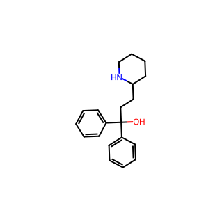 OC(CCC1CCCCN1)(c1ccccc1)c1ccccc1